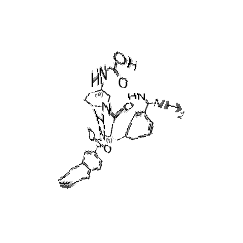 N=C(N)c1cccc(C[C@H](NS(=O)(=O)c2ccc3ccccc3c2)C(=O)N2CCC[C@@H](NC(=O)O)C2)c1